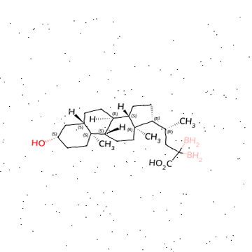 BC(B)(C[C@@H](C)[C@H]1CC[C@H]2[C@@H]3CC[C@H]4C[C@@H](O)CC[C@]4(C)[C@H]3CC[C@]12C)C(=O)O